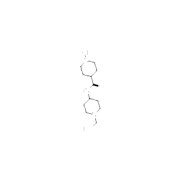 CCN1CCC(NC(=O)C2CCN(C)CC2)CC1